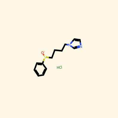 Cl.[O-][S+](CCCCn1ccnc1)c1ccccc1